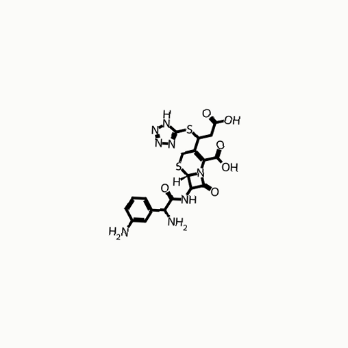 Nc1cccc(C(N)C(=O)NC2C(=O)N3C(C(=O)O)=C(C(CC(=O)O)Sc4nnn[nH]4)CS[C@@H]23)c1